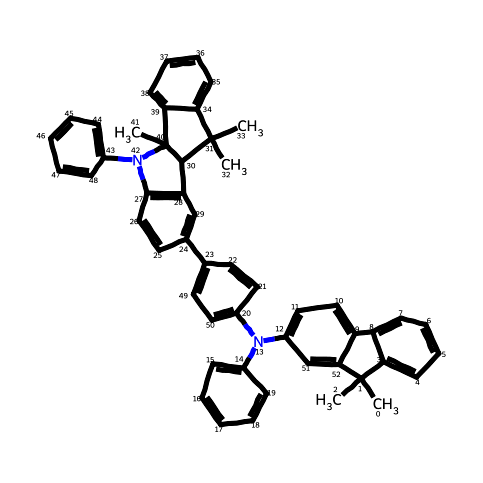 CC1(C)c2ccccc2-c2ccc(N(c3ccccc3)c3ccc(-c4ccc5c(c4)C4C(C)(C)c6ccccc6C4(C)N5c4ccccc4)cc3)cc21